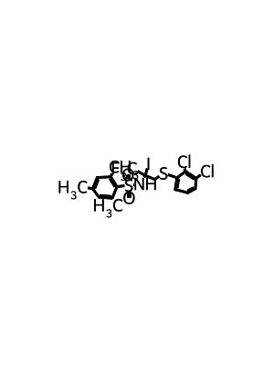 Cc1cc(C)c(S(=O)(=O)NC(I)(CSc2cccc(Cl)c2Cl)C(F)(F)F)c(C)c1